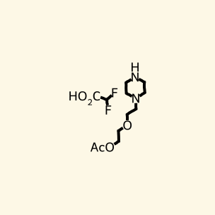 CC(=O)OCCOCCN1CCNCC1.O=C(O)C(F)F